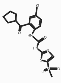 CS(=O)(=O)c1cnc(NC(=O)Nc2ccc(Cl)cc2C(=O)C2CCCC2)s1